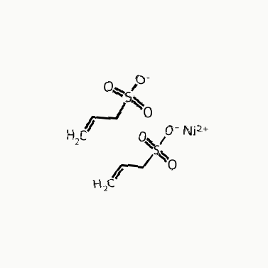 C=CCS(=O)(=O)[O-].C=CCS(=O)(=O)[O-].[Ni+2]